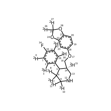 [2H]c1c([2H])c(C2C([2H])([2H])C([2H])([2H])NC[C@]2([2H])COc2ccc3c(c2)OC([2H])([2H])O3)c([2H])c([2H])c1F